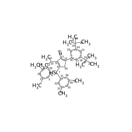 Cc1cc(C)cc([SiH](C2=C(C(C)C)[C]([Ti])=C(c3cc(C(C)(C)C)cc(C(C)(C)C)c3)C2)c2cc(C)cc(C)c2)c1